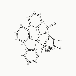 CCCCN1CCC1N1C(=O)c2ccccc2C1C1(S(=O)(=O)CCCC)c2ccccc2-c2ccccc21